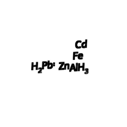 [AlH3].[Cd].[Fe].[PbH2].[Zn]